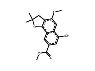 COC(=O)c1cc(O)c2cc(OC)c3c(c2c1)OC(C)(C)C3